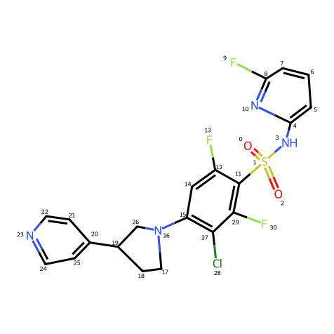 O=S(=O)(Nc1cccc(F)n1)c1c(F)cc(N2CCC(c3ccncc3)C2)c(Cl)c1F